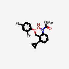 CCc1ccc(OCc2c(C3CC3)cccc2N(O)C(=O)OC)c(CC)c1